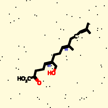 CC(C)=CCC/C(C)=C/CC/C(=C/CCC(=O)C(=O)O)CO